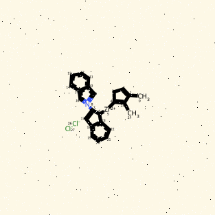 CC1=CC[C]([Zr+2][CH]2C(n3cc4ccccc4c3)=Cc3ccccc32)=C1C.[Cl-].[Cl-]